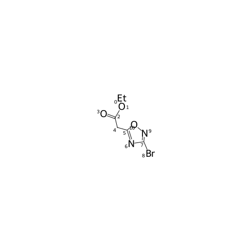 CCOC(=O)Cc1nc(Br)no1